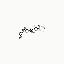 Cc1cc(N(C)C(N)=O)cc(C)c1CCS(=O)(=O)N1CCC2(CC1)N=C(c1cccc(OF)c1)NC2=O